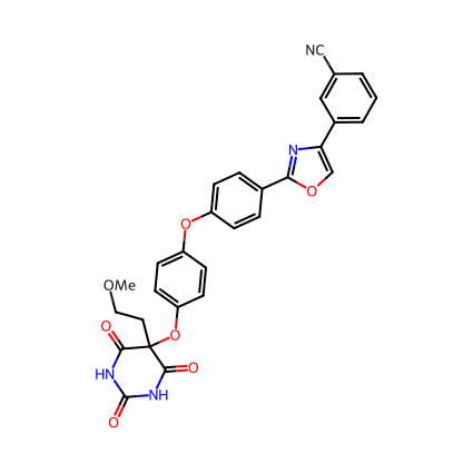 COCCC1(Oc2ccc(Oc3ccc(-c4nc(-c5cccc(C#N)c5)co4)cc3)cc2)C(=O)NC(=O)NC1=O